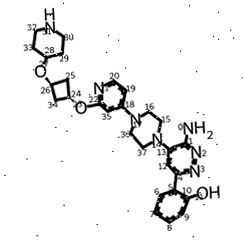 Nc1nnc(-c2ccccc2O)cc1N1CCN(c2ccnc(O[C@H]3C[C@H](OC4CCNCC4)C3)c2)CC1